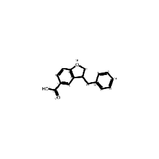 O=C(O)c1ccc2c(c1)C(Cc1ccccc1)CO2